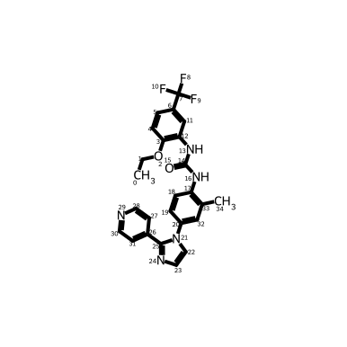 CCOc1ccc(C(F)(F)F)cc1NC(=O)Nc1ccc(-n2ccnc2-c2ccncc2)cc1C